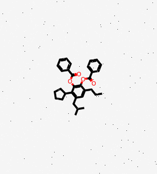 CCCc1cc(CC(C)C)c(C2CCCC2)c(OC(=O)c2ccccc2)c1OC(=O)c1ccccc1